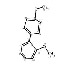 COc1ccc(-c2cc[c]cc2OC)cc1